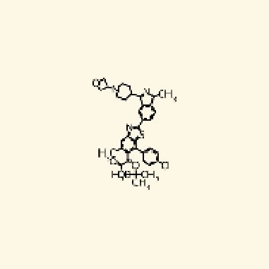 Cc1cc2nc(-c3ccc4c(c3)C(C3CCN(C5COC5)CC3)=NC4C)sc2c(-c2ccc(Cl)cc2)c1[C@H](OC(C)(C)C)C(=O)O